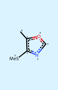 CSc1ncoc1C